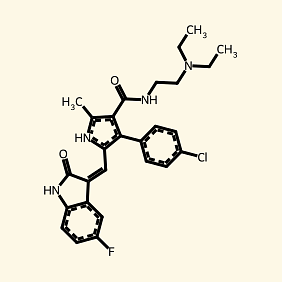 CCN(CC)CCNC(=O)c1c(C)[nH]c(C=C2C(=O)Nc3ccc(F)cc32)c1-c1ccc(Cl)cc1